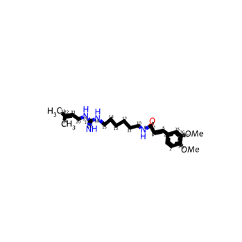 COc1ccc(/C=C/C(=O)NCCCCCCNC(=N)NCC=C(C)C)cc1OC